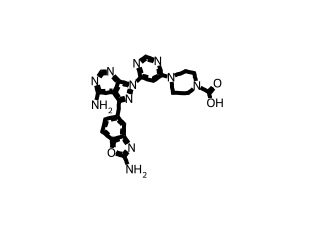 Nc1nc2cc(-c3nn(-c4cc(N5CCN(C(=O)O)CC5)ncn4)c4ncnc(N)c34)ccc2o1